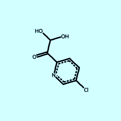 O=C(c1ccc(Cl)cn1)C(O)O